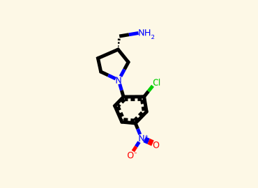 NC[C@H]1CCN(c2ccc([N+](=O)[O-])cc2Cl)C1